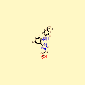 Cc1ccc(Nc2ccc(C(F)(F)F)cc2)c(-c2nnn(CCO)n2)c1